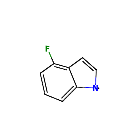 Fc1cccc2c1C=C[N]2